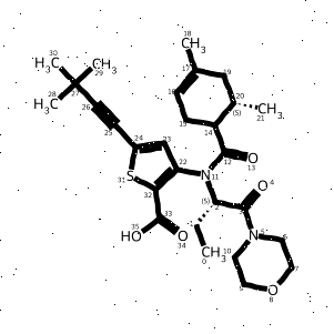 CC[C@@H](C(=O)N1CCOCC1)N(C(=O)C1CC=C(C)C[C@@H]1C)c1cc(C#CC(C)(C)C)sc1C(=O)O